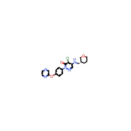 O=c1c(Cl)c(NC[C@H]2CCCOC2)cnn1-c1ccc(Oc2cnccn2)cc1